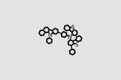 c1ccc(-c2ccc(N(c3ccc(-c4ccc5c6ccc7ccccc7c6n(-c6ccccc6)c5c4)cc3)c3cccc4sc5ccccc5c34)c3c2sc2ccccc23)cc1